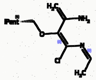 C=C(N)/C(OC[C@@H](C)CCC)=C(Cl)\N=C/C